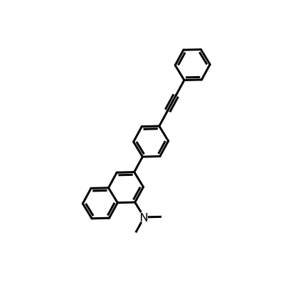 CN(C)c1cc(-c2ccc(C#Cc3ccccc3)cc2)cc2ccccc12